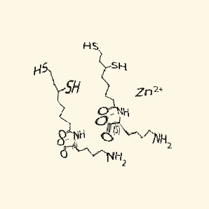 NCCCC[C@H](NC(=O)CCCCC(S)CCS)C(=O)[O-].NCCCC[C@H](NC(=O)CCCCC(S)CCS)C(=O)[O-].[Zn+2]